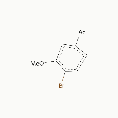 COc1cc(C(C)=O)ccc1Br